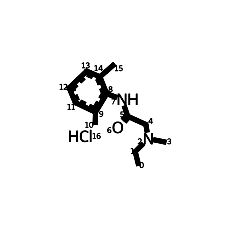 CCN(C)CC(=O)Nc1c(C)cccc1C.Cl